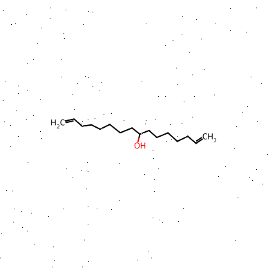 C=CCCCCCCC(O)CCCCCC=C